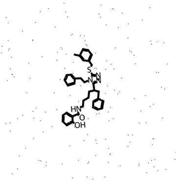 Cc1cccc(CSc2nnc(C(CCCCNC(=O)c3ccccc3O)Cc3ccccc3)n2CCc2ccccc2)c1